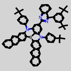 CC(C)(C)c1ccc(N2c3cc4cc5ccccc5cc4cc3B3c4cc5cc6ccccc6cc5cc4N(c4ccc(C(C)(C)C)cc4)c4cc(-c5nc(-c6cc(C(C)(C)C)cc(C(C)(C)C)c6)c6ccccc6n5)cc2c43)cc1